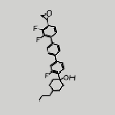 CCCC1CCC(O)(c2ccc(-c3ccc(-c4ccc(C5CO5)c(F)c4F)cc3)cc2F)CC1